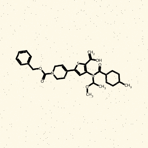 C=C(O)c1sc(C2=CCN(C(=O)OCc3ccccc3)CC2)cc1N(C(=O)C1CCC(C)CC1)C(C)OC